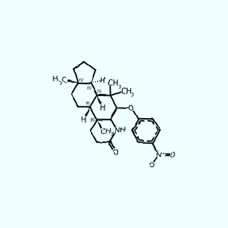 CC1(C)C(Oc2ccc([N+](=O)[O-])cc2)C2NC(=O)CC[C@]2(C)[C@@H]2CC[C@]3(C)CCC[C@H]3[C@@H]21